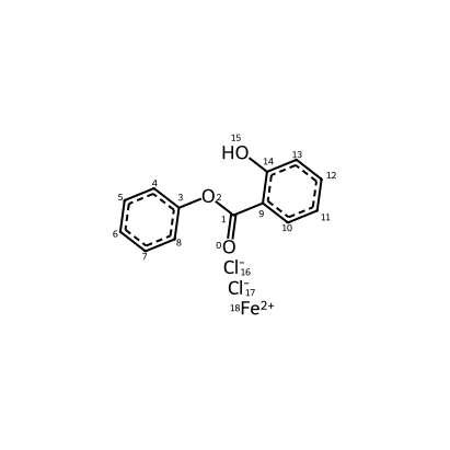 O=C(Oc1ccccc1)c1ccccc1O.[Cl-].[Cl-].[Fe+2]